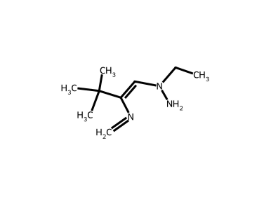 C=N/C(=C\N(N)CC)C(C)(C)C